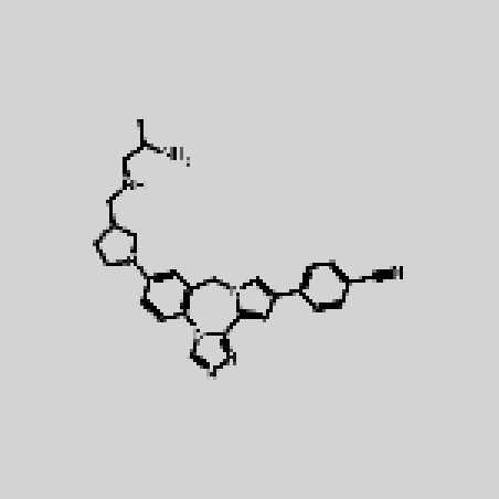 CC(N)CNCC1CCN(c2ccc3c(c2)Cn2cc(-c4ccc(C#N)cc4)cc2-c2nncn2-3)C1